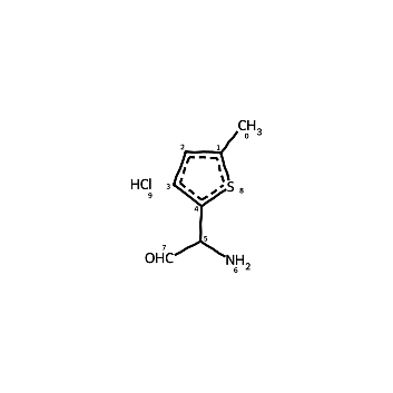 Cc1ccc(C(N)C=O)s1.Cl